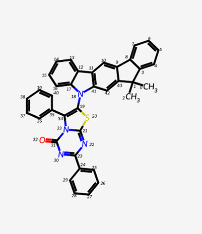 CC1(C)c2ccccc2-c2cc3c4ccccc4n(-c4sc5nc(-c6ccccc6)nc(=O)n5c4-c4ccccc4)c3cc21